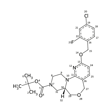 CC(C)(C)OC(=O)N1CCN2c3nc(OCc4ccc(Cl)cc4F)ccc3COC[C@@H]2C1